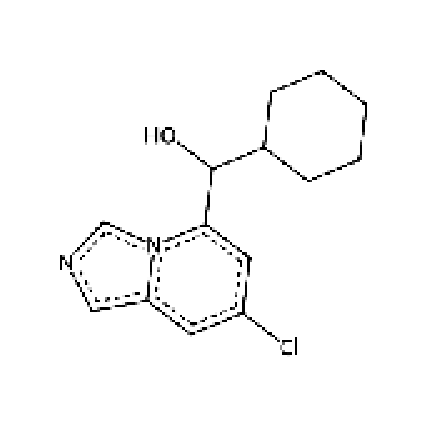 OC(c1cc(Cl)cc2cncn12)C1CCCCC1